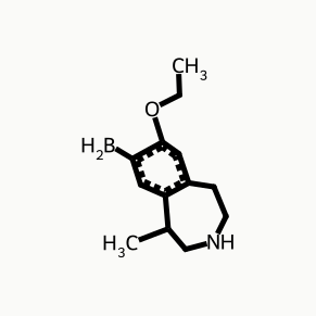 Bc1cc2c(cc1OCC)CCNCC2C